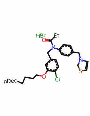 Br.CCCCCCCCCCCCCCOc1cc(CN(C(=O)CC)c2ccc(CN3C=CSC3)cc2)ccc1Cl